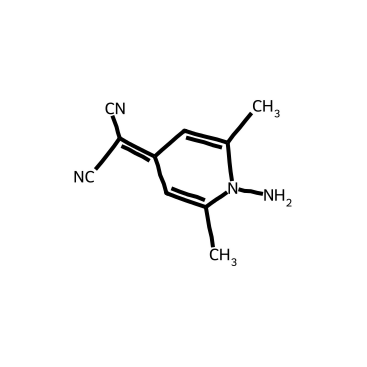 CC1=CC(=C(C#N)C#N)C=C(C)N1N